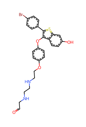 O=CCNCCNCCOc1ccc(Oc2c(-c3ccc(Br)cc3)sc3cc(O)ccc23)cc1